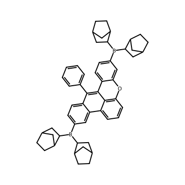 c1ccc(-c2c3c4c(cccc4c4cc(B(C5CC6CCC5C6)C5CC6CCC5C6)ccc24)Oc2cc(B(C4CC5CCC4C5)C4CC5CCC4C5)ccc2-3)cc1